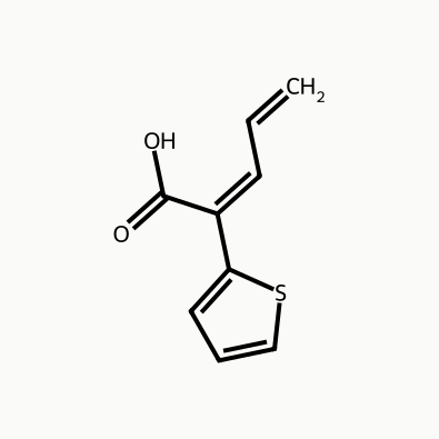 C=CC=C(C(=O)O)c1cccs1